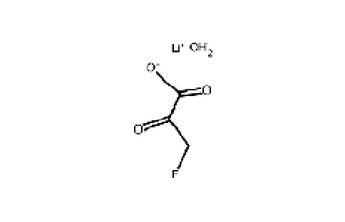 O.O=C([O-])C(=O)CF.[Li+]